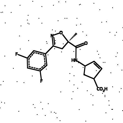 C[C@]1(C(=O)NC2C=CC(C(=O)O)C2)CC(c2cc(F)cc(F)c2)=NO1